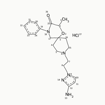 CC1OC2(CCN(CCn3ccc(N)n3)CC2)CN(c2ccccc2)C1=O.Cl